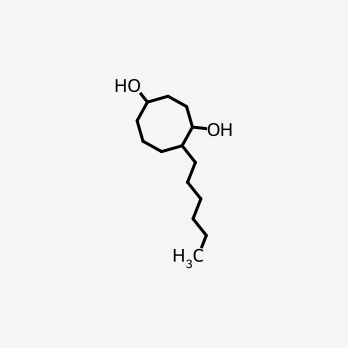 CCCCCCC1CCCC(O)CCC1O